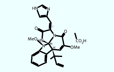 C=CC(C)(C)[C@]12C=C(OC)C(=O)N3/C(=C/c4c[nH]cn4)C(=O)N[C@@]31N(OC)c1ccccc12.CC(=O)O